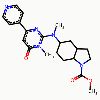 COC(=O)N1CCC2CC(N(C)c3nc(-c4ccncc4)cc(=O)n3C)CCC21